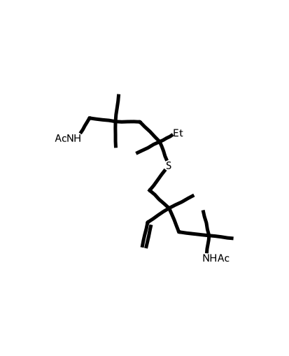 C=CC(C)(CSC(C)(CC)CC(C)(C)CNC(C)=O)CC(C)(C)NC(C)=O